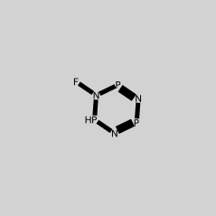 FN1P=NP=NP1